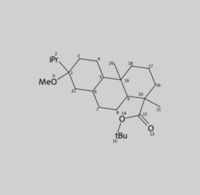 COC1(C(C)C)CCC2C(CCC3C(C)(C(=O)OC(C)(C)C)CCCC23C)C1